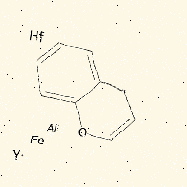 C1=COc2ccccc2C1.[Al].[Fe].[Hf].[Y]